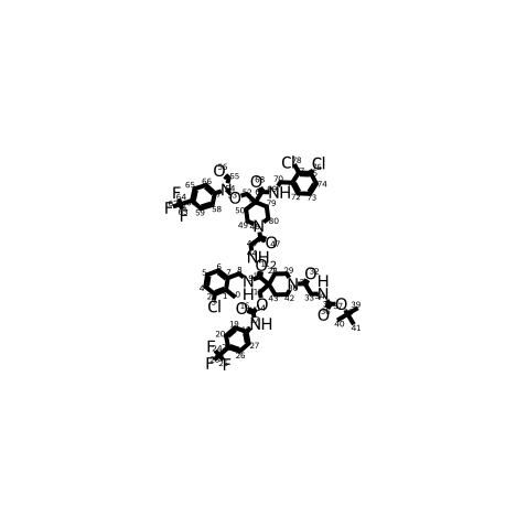 Cc1c(Cl)cccc1CNC(=O)C1(COC(=O)Nc2ccc(C(F)(F)F)cc2)CCN(C(=O)CNC(=O)OC(C)(C)C)CC1.NCC(=O)N1CCC(CON(C=O)c2ccc(C(F)(F)F)cc2)(C(=O)NCc2cccc(Cl)c2Cl)CC1